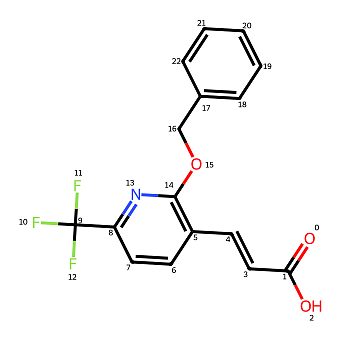 O=C(O)C=Cc1ccc(C(F)(F)F)nc1OCc1ccccc1